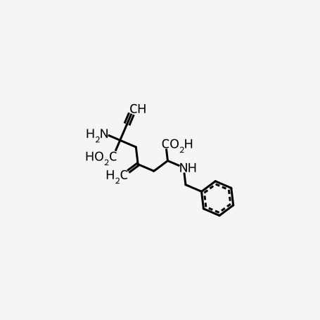 C#CC(N)(CC(=C)CC(NCc1ccccc1)C(=O)O)C(=O)O